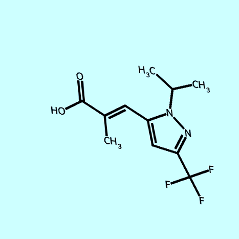 CC(=Cc1cc(C(F)(F)F)nn1C(C)C)C(=O)O